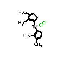 CC1=CC[C]([Ti+2][C]2=C(C)C(C)=CC2)=C1C.[Cl-].[Cl-]